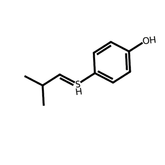 CC(C)C=[SH]c1ccc(O)cc1